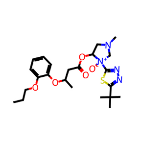 CCCOc1ccccc1OC(C)CC(=O)OC1CN(C)C[N+]1([O-])c1nnc(C(C)(C)C)s1